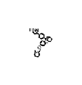 c1ccc(COc2ccc([C@@]3(c4ccc(-c5cc[nH]n5)cc4)CC4CC[C@@H]3C4)cc2)nc1